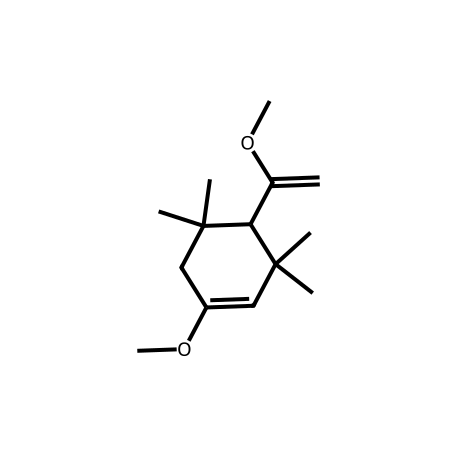 C=C(OC)C1C(C)(C)C=C(OC)CC1(C)C